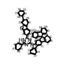 C1=CC2=C(CC1)C1(c3cc4c(cc32)c2ccccc2n4C2=NC(c3ccc4c(c3)oc3cc(-c5ccccc5)ccc34)NC(c3ccccc3)=N2)c2ccccc2-c2ccccc21